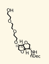 CCCCCCCCCCN[C@H]1CO[C@H]2[C@@H]1OC[C@@H]2OCCOCCOCCO